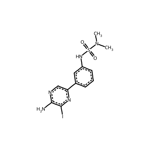 CN(C)S(=O)(=O)Nc1cccc(-c2cnc(N)c(I)n2)c1